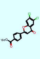 COC(=O)c1ccc(-c2cc(=O)c3cc(Cl)c(Cl)cc3o2)cc1